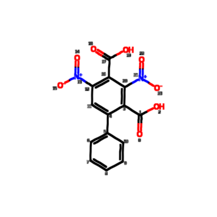 O=C(O)c1c(-c2ccccc2)cc([N+](=O)[O-])c(C(=O)O)c1[N+](=O)[O-]